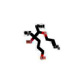 [CH2]C(O)(CCCO)C(CCCCC)OCC=C